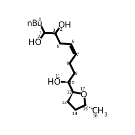 CCCCC(O)C(O)C/C=C\CC[C@H](O)[C@@H]1CC[C@@H](C)O1